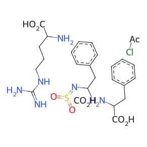 CC(=O)Cl.N=C(N)NCCCC(N)C(=O)O.NC(Cc1ccccc1)C(=O)O.O=C(O)C(Cc1ccccc1)N=S(=O)=O